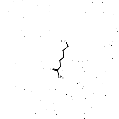 CCCC[CH]CC(N)=O